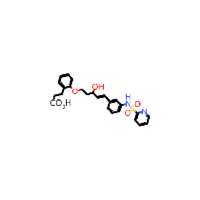 O=C(O)CCc1ccccc1OCCC(O)/C=C/c1cccc(NS(=O)(=O)c2ccccn2)c1